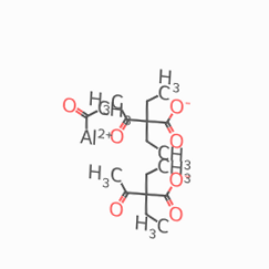 CCC(CC)(C(C)=O)C(=O)[O-].CCC(CC)(C(C)=O)C(=O)[O-].C[C](=O)[Al+2]